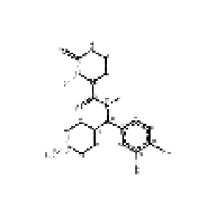 C[C@@H]1C(=O)NCCN1C(=O)N(C)C(c1ccc(F)c(F)c1)[C@H]1CC[C@H](C(F)(F)F)CC1